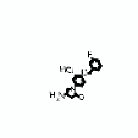 Cl.NC1CC(=O)N(c2ccc(OCc3cccc(F)c3)cc2)C1